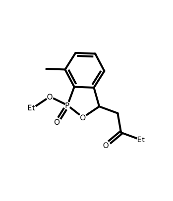 CCOP1(=O)OC(CC(=O)CC)c2cccc(C)c21